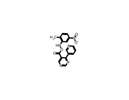 Cc1ccc([N+](=O)[O-])cc1NOC(=O)c1cncnc1-c1cccnc1